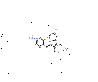 CC1=C(CC(=O)O)c2cc(F)ccc2C1=Cc1ccc(N)cc1